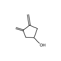 C=C1CC(O)CC1=C